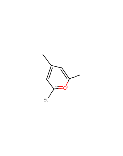 CCc1cc(C)cc(C)[o+]1